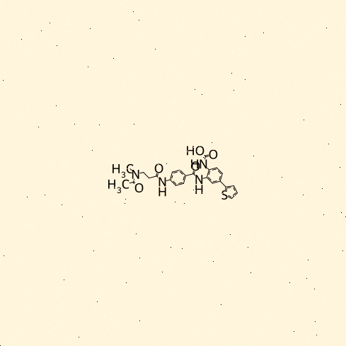 CC(=O)N(C)CCC(=O)Nc1ccc(C(=O)Nc2cc(-c3cccs3)ccc2NC(=O)O)cc1